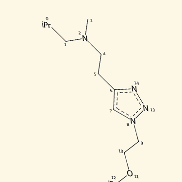 CC(C)CN(C)CCc1cn(CCOC(C)C)nn1